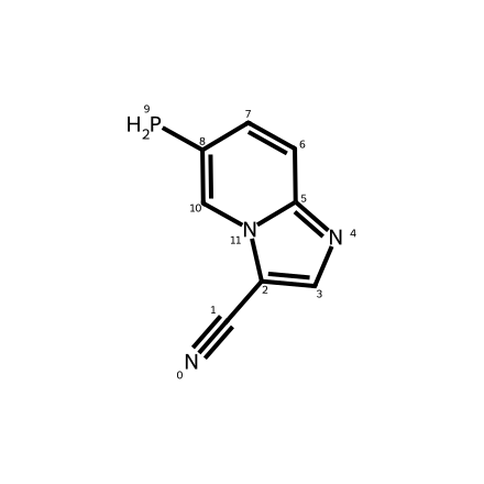 N#Cc1cnc2ccc(P)cn12